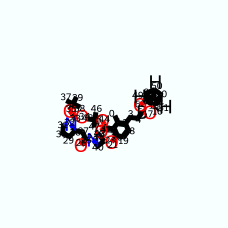 Cc1c(CCB2O[C@@H]3C[C@@H]4C[C@@H](C4(C)C)[C@]3(C)O2)ccc(OC2CN(C(=O)CC3CCCN3C(=O)OC(C)(C)C)C2)c1C(=O)OC(C)(C)C